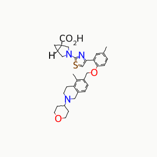 Cc1ccc(OCc2ccc3c(c2C)CCN(C2CCOCC2)C3)c(-c2csc(N3C[C@@H]4C[C@]4(C(=O)O)C3)n2)c1